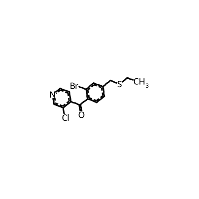 CCSCc1ccc(C(=O)c2ccncc2Cl)c(Br)c1